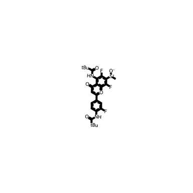 C[S+]([O-])c1c(F)c(NC(=O)C(C)(C)C)c2c(=O)cc(-c3ccc(NC(=O)C(C)(C)C)c(F)c3)oc2c1F